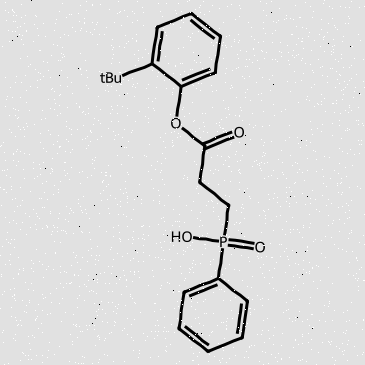 CC(C)(C)c1ccccc1OC(=O)CCP(=O)(O)c1ccccc1